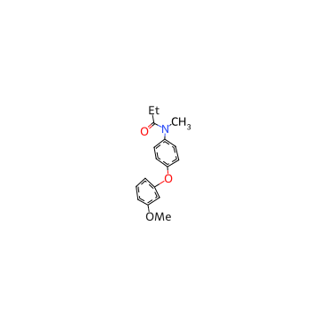 CCC(=O)N(C)c1ccc(Oc2cccc(OC)c2)cc1